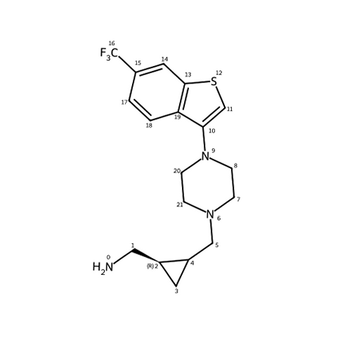 NC[C@@H]1CC1CN1CCN(c2csc3cc(C(F)(F)F)ccc23)CC1